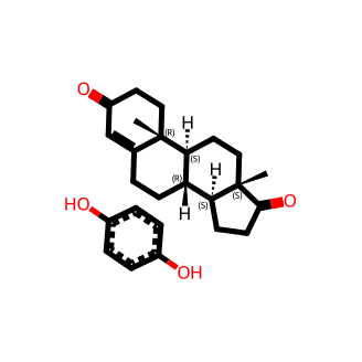 C[C@]12CCC(=O)C=C1CC[C@@H]1[C@@H]2CC[C@]2(C)C(=O)CC[C@@H]12.Oc1ccc(O)cc1